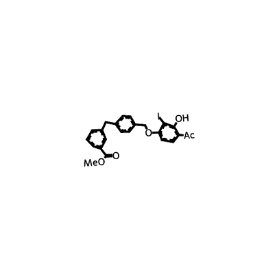 COC(=O)c1cccc(Cc2ccc(COc3ccc(C(C)=O)c(O)c3I)cc2)c1